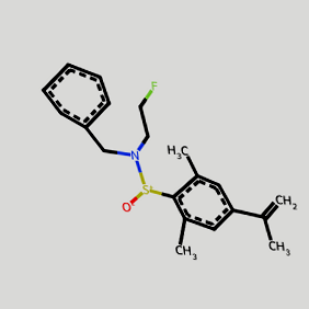 C=C(C)c1cc(C)c([S+]([O-])N(CCF)Cc2ccccc2)c(C)c1